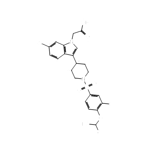 CC(C)Oc1ccc(S(=O)(=O)N2CCC(c3cn(CC(=O)O)c4cc(Cl)ccc34)CC2)cc1F